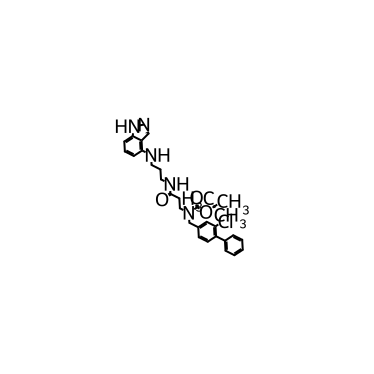 CC(C)(C)OC(=O)N(CCC(=O)NCCCNc1cccc2[nH]ncc12)Cc1ccc(-c2ccccc2)c(Cl)c1